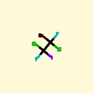 FC(Cl)(Br)C(F)(Cl)I